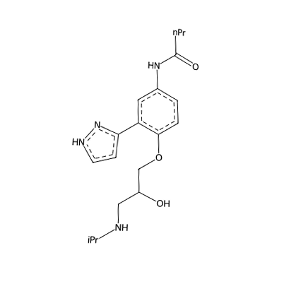 CCCC(=O)Nc1ccc(OCC(O)CNC(C)C)c(-c2cc[nH]n2)c1